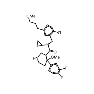 COCCCc1ccc(Cl)c(CN(C(=O)C2CNCCC2(OC)c2ccc(F)c(F)c2)C2CC2)c1